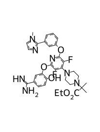 CCOC(=O)C(C)(C)N1CCN(c2c(F)c(Oc3cccc(-c4nccn4C)c3)nc(Oc3cc(C(=N)N)ccc3O)c2F)CC1